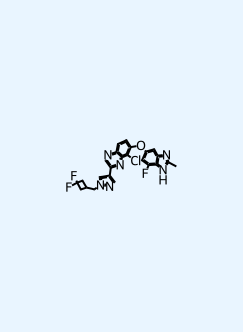 Cc1nc2cc(Oc3ccc4ncc(-c5cnn(CC6CC(F)(F)C6)c5)nc4c3Cl)cc(F)c2[nH]1